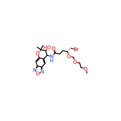 COCCOCO[C@@H](CBr)CCC(=O)NC1c2cc3nonc3cc2OC(C)(C)C1O